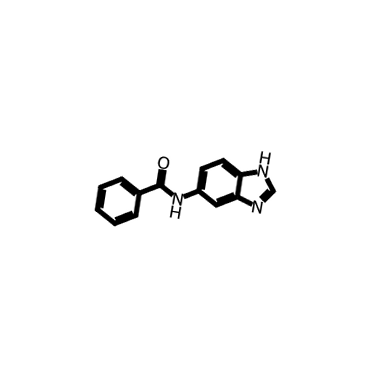 O=C(Nc1ccc2[nH]cnc2c1)c1ccccc1